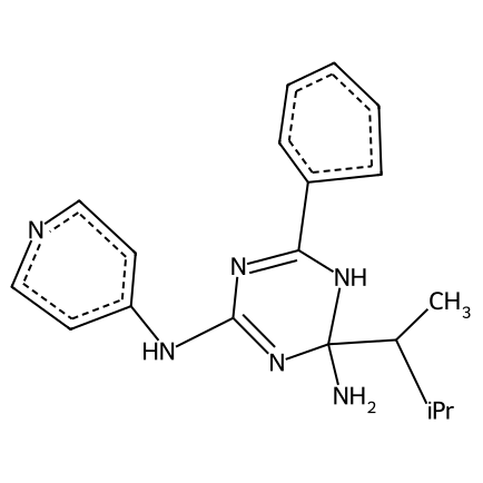 CC(C)C(C)C1(N)N=C(Nc2ccncc2)N=C(c2ccccc2)N1